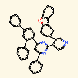 c1ccc(-c2ccc(-c3cc(-c4ccccc4)nc(-c4ccncc4-c4ccc5oc6ccccc6c5c4)n3)c(-c3ccccc3)c2)cc1